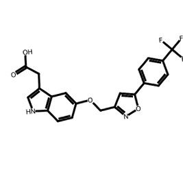 O=C(O)Cc1c[nH]c2ccc(OCc3cc(-c4ccc(C(F)(F)F)cc4)on3)cc12